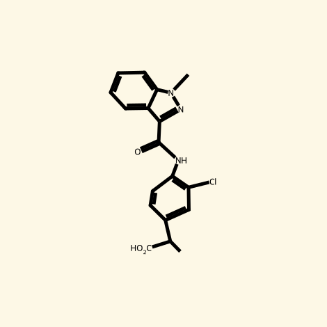 CC(C(=O)O)c1ccc(NC(=O)c2nn(C)c3ccccc23)c(Cl)c1